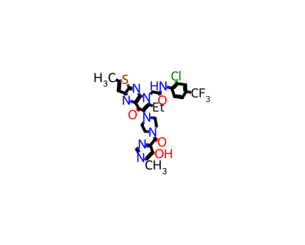 CCc1c(N2CCN(C(=O)c3ncnc(C)c3O)CC2)c(=O)c2nc3cc(C)sc3nc2n1CC(=O)Nc1ccc(C(F)(F)F)cc1Cl